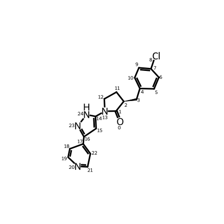 O=C1[C@H](Cc2ccc(Cl)cc2)CCN1c1cc(-c2ccncc2)n[nH]1